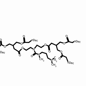 CCCCCCCCCCCC(=O)OCC(COC(=O)CCCCCCCCCCC)CC(=O)OCCN(CCOC(=O)CC(COC(=O)CCCCCCCCCCC)COC(=O)CCCCCCCCCCC)C(=O)N(C)CCCN(C)C